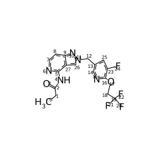 CCC(=O)Nc1nccc2nn(Cc3cnc(OCC(F)(F)F)c(F)c3)cc12